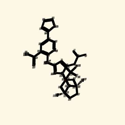 CC(C)Cc1cc(Nc2ncc(-c3cccs3)cc2C(=O)O)nn1C1C[C@H]2CC[C@@H](C1)N2CC(F)(F)F